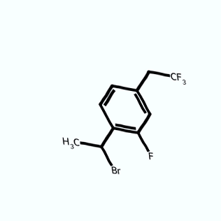 CC(Br)c1ccc(CC(F)(F)F)cc1F